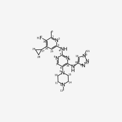 Cc1nc(Nc2ncc(N3CCN(C)CC3)c(Nc3cn(C)nn3)n2)cc(C2CC2)c1F